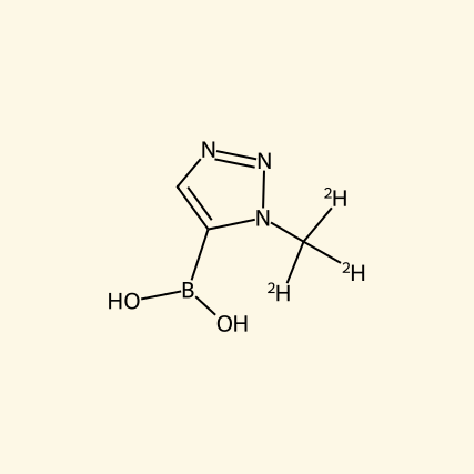 [2H]C([2H])([2H])n1nncc1B(O)O